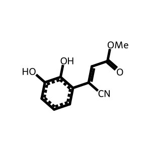 COC(=O)C=C(C#N)c1cccc(O)c1O